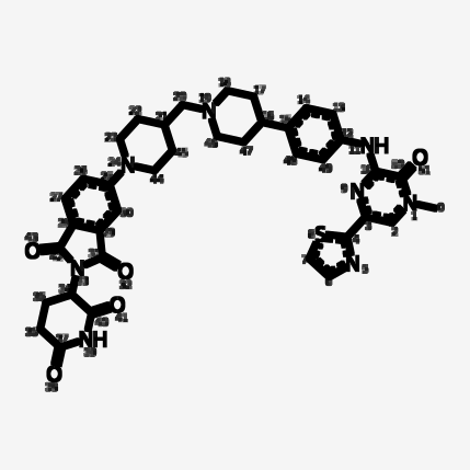 Cn1cc(-c2nccs2)nc(Nc2ccc(C3CCN(CC4CCN(c5ccc6c(c5)C(=O)N(C5CCC(=O)NC5=O)C6=O)CC4)CC3)cc2)c1=O